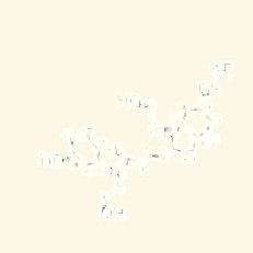 OCCN1/C(=C/C=C/c2sc3ccc(OCCF)cc3[n+]2CCO)Sc2ccc(O)cc21